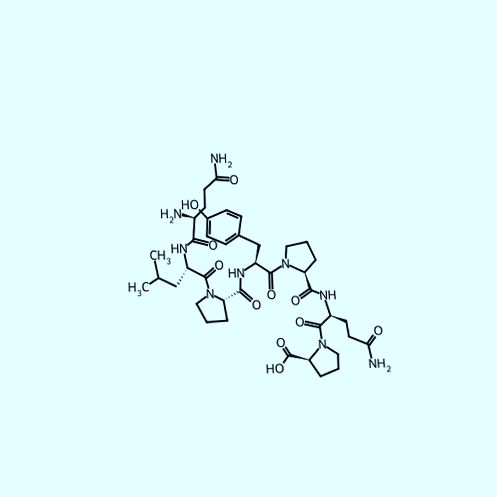 CC(C)C[C@H](NC(=O)[C@@H](N)CCC(N)=O)C(=O)N1CCC[C@H]1C(=O)N[C@@H](Cc1ccc(O)cc1)C(=O)N1CCC[C@H]1C(=O)N[C@@H](CCC(N)=O)C(=O)N1CCC[C@H]1C(=O)O